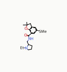 CCN1CCCC1CNC(=O)c1cc(SC)cc2c1OC(C)(C)C2